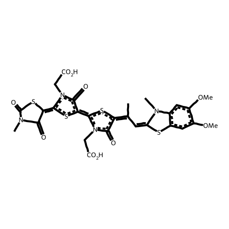 COc1cc2c(cc1OC)N(C)C(=C/C(C)=c1/s/c(=c3/s/c(=C4/SC(=O)N(C)C4=O)n(CC(=O)O)c3=O)n(CC(=O)O)c1=O)S2